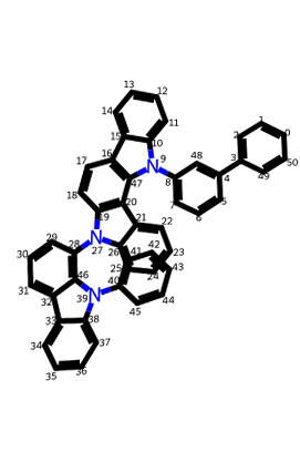 c1ccc(-c2cccc(-n3c4ccccc4c4ccc5c(c6ccccc6n5-c5cccc6c7ccccc7n(-c7ccccc7)c56)c43)c2)cc1